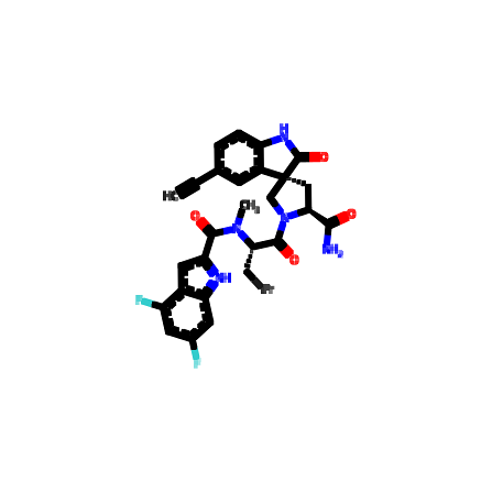 C#Cc1ccc2c(c1)[C@@]1(C[C@@H](C(N)=O)N(C(=O)[C@H](CC(C)C)N(C)C(=O)c3cc4c(F)cc(F)cc4[nH]3)C1)C(=O)N2